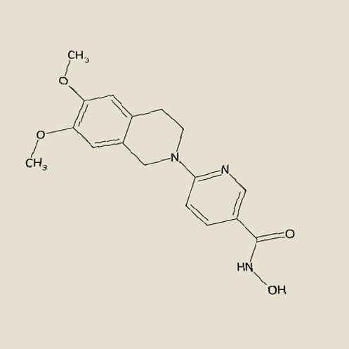 COc1cc2c(cc1OC)CN(c1ccc(C(=O)NO)cn1)CC2